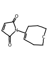 O=C1C=CC(=O)N1/C1=C/CCCCCC1